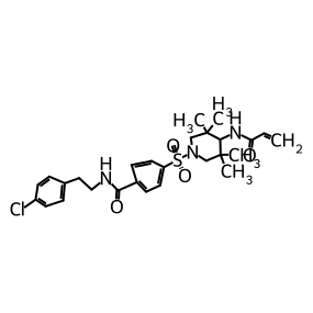 C=CC(=O)NC1C(C)(C)CN(S(=O)(=O)c2ccc(C(=O)NCCc3ccc(Cl)cc3)cc2)CC1(C)C